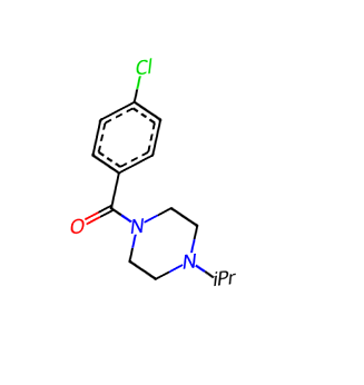 CC(C)N1CCN(C(=O)c2ccc(Cl)cc2)CC1